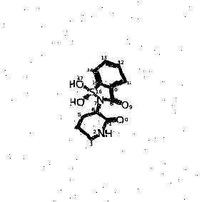 O=C1NCCCC1N1C(=O)c2ccccc2S1(O)O